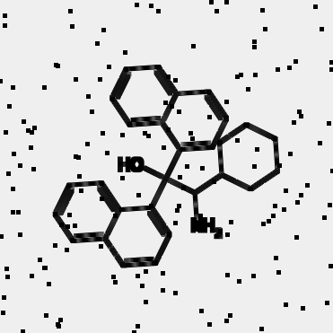 NC(C1CCCCC1)C(O)(c1cccc2ccccc12)c1cccc2ccccc12